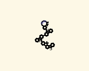 C=C1/C=C\C=C/Cc2ccc(-n3c4ccccc4c4ccc(-c5ccc6c7ccccc7n(-c7ccc8c(c7)C(C)(C)c7c-8ccc8sc9ccccc9c78)c6c5)cc43)cc2C1(C)C